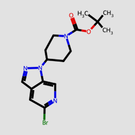 CC(C)(C)OC(=O)N1CCC(n2ncc3cc(Br)ncc32)CC1